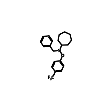 FC(F)(F)c1ccc(ON(Cc2ccccc2)C2CCCCCC2)cc1